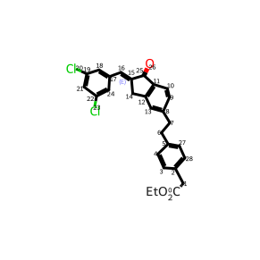 CCOC(=O)Cc1ccc(CCc2ccc3c(c2)C/C(=C\c2cc(Cl)cc(Cl)c2)C3=O)cc1